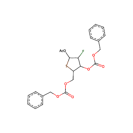 CC(=O)OC1SC(COC(=O)OCc2ccccc2)C(OC(=O)OCc2ccccc2)C1F